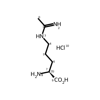 CC(=N)NCCC[C@H](N)C(=O)O.Cl